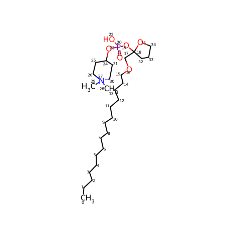 CCCCCCCCCCCCCCCCOCC1(OP(=O)(O)OC2CC[N+](C)(C)CC2)CCCO1